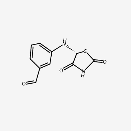 O=Cc1cccc(N[C@@H]2SC(=O)NC2=O)c1